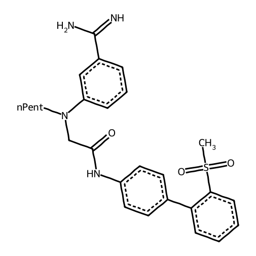 CCCCCN(CC(=O)Nc1ccc(-c2ccccc2S(C)(=O)=O)cc1)c1cccc(C(=N)N)c1